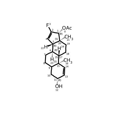 CC(=O)O[C@H]1C(F)=C[C@H]2[C@@H]3CCC4C[C@@H](O)C=C[C@]4(C)[C@H]3CC[C@]12C